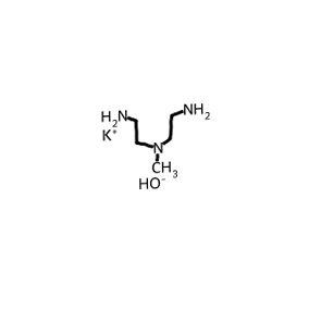 CN(CCN)CCN.[K+].[OH-]